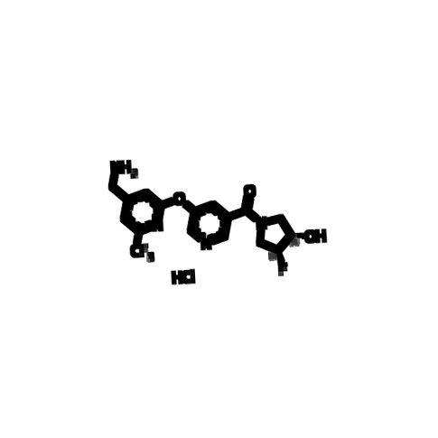 Cl.NCc1cc(Oc2cncc(C(=O)N3C[C@H](O)[C@@H](F)C3)c2)nc(C(F)(F)F)c1